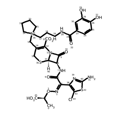 C[C@H](O/N=C(\C(=O)N[C@@H]1C(=O)N2C(C(=O)O)=C(C[N+]3(CCCNC(=O)c4ccc(O)c(O)c4)CCCC3)CS[C@H]12)c1nc(N)sc1Cl)C(=O)O